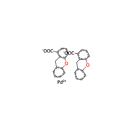 O=C([O-])c1cccc2c1Cc1ccccc1O2.O=C([O-])c1cccc2c1Cc1ccccc1O2.[Pd+2]